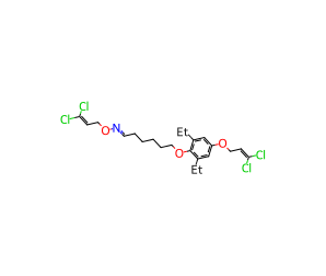 CCc1cc(OCC=C(Cl)Cl)cc(CC)c1OCCCCCC=NOCC=C(Cl)Cl